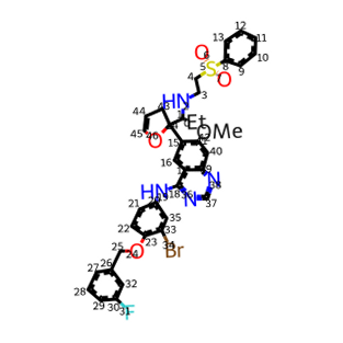 CCC(NCCS(=O)(=O)c1ccccc1)C1(c2cc3c(Nc4ccc(OCc5cccc(F)c5)c(Br)c4)ncnc3cc2OC)CC=CO1